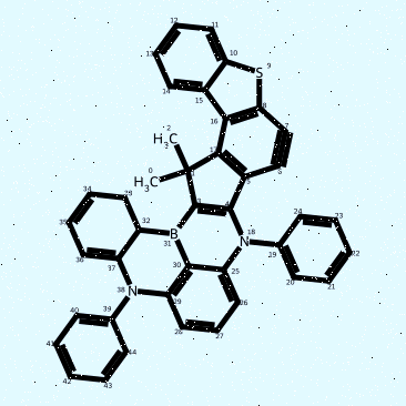 CC1(C)C2=C(c3c#cc4sc5ccccc5c4c31)N(c1ccccc1)c1cccc3c1B2C1CC=CC=C1N3c1ccccc1